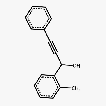 Cc1ccccc1C(O)C#Cc1ccccc1